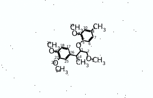 COCC(Oc1ccc(C)cc1OC)C(C)c1ccc(OC)c(OC)c1